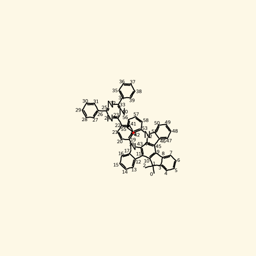 CC1(C)c2ccccc2-c2c1c1c3ccccc3n(-c3ccc(-c4nc(-c5ccccc5)nc(-c5ccccc5)n4)cc3)c1c1c2c2ccccc2n1-c1ccccc1